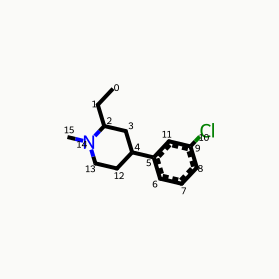 CCC1CC(c2cccc(Cl)c2)CCN1C